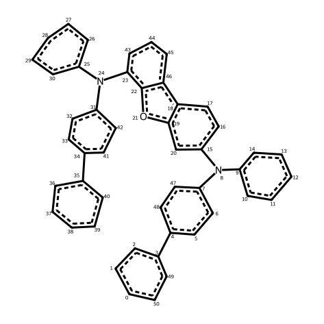 c1ccc(-c2ccc(N(c3ccccc3)c3ccc4c(c3)oc3c(N(c5ccccc5)c5ccc(-c6ccccc6)cc5)cccc34)cc2)cc1